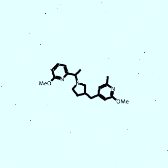 COc1cc(CC2CCN(C(C)c3cccc(OC)n3)C2)cc(C)n1